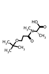 C[C@@H](C(=O)O)N(C)C(=O)CCOC(C)(C)C